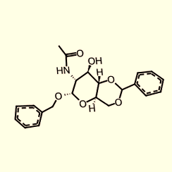 CC(=O)N[C@H]1[C@@H](OCc2ccccc2)O[C@@H]2COC(c3ccccc3)O[C@H]2[C@@H]1O